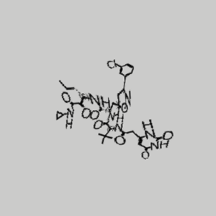 CCC[C@H](NC(=O)[C@@H]1C[C@]2(CC(c3cccc(Cl)c3)=NO2)CN1C(=O)[C@@H](NC(=O)Cc1cc(=O)[nH]c(=O)[nH]1)C(C)(C)C)C(=O)C(=O)NC1CC1